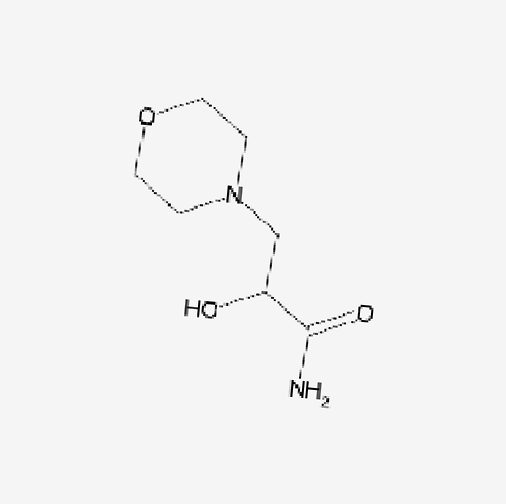 NC(=O)C(O)CN1CCOCC1